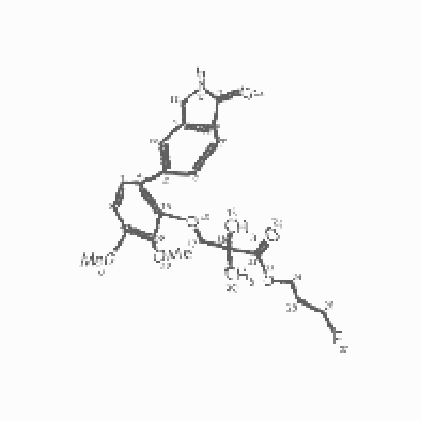 COc1ccc(-c2ccc3c(c2)CNC3=O)c(OCC(C)(C)C(=O)OCCCF)c1OC